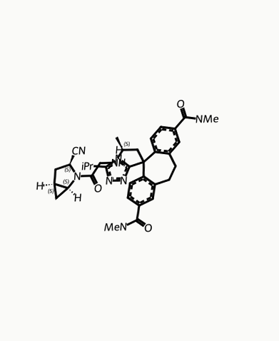 CNC(=O)c1ccc2c(c1)CCc1cc(C(=O)NC)ccc1C2(C[C@H](C)NCC(=O)N1[C@H](C#N)C[C@@H]2C[C@@H]21)c1nnc(C(C)C)[nH]1